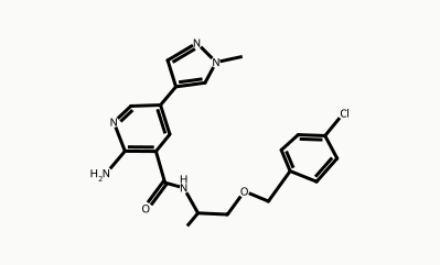 CC(COCc1ccc(Cl)cc1)NC(=O)c1cc(-c2cnn(C)c2)cnc1N